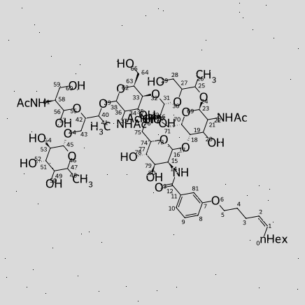 CCCCCC/C=C\CCCOc1cccc(C(=O)N[C@@H]2C(O[C@H]3C(O)C(NC(C)=O)[C@H](OC(C)C(CO)O[C@@H](O[C@H]4C(O)C(NC(C)=O)C(OC(C)C(CO[C@@H]5OC(C)C(O)[C@H](O)[C@H]5O)OC(O)[C@H](CO)NC(C)=O)O[C@H]4CO)C(O)NC(C)=O)O[C@H]3CO)OC(CO)[C@@H](O)[C@@H]2O)c1